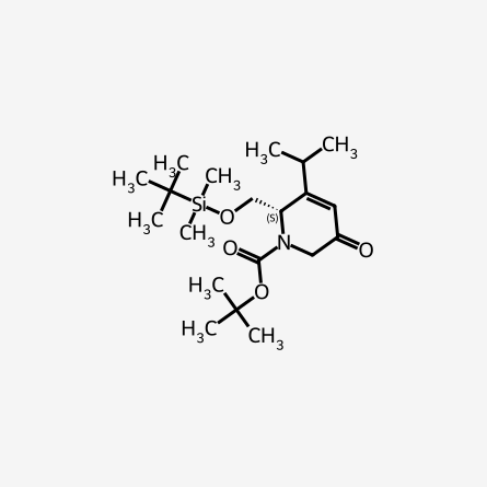 CC(C)C1=CC(=O)CN(C(=O)OC(C)(C)C)[C@@H]1CO[Si](C)(C)C(C)(C)C